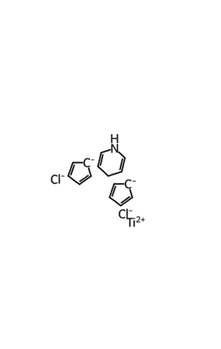 C1=CNC=CC1.[Cl-].[Cl-].[Ti+2].c1cc[cH-]c1.c1cc[cH-]c1